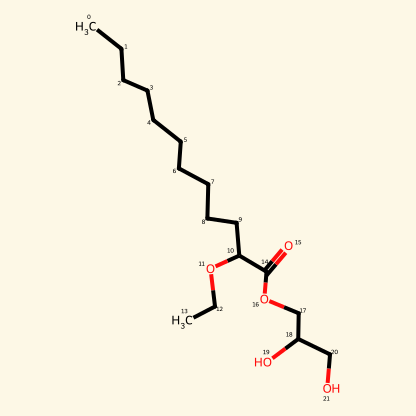 CCCCCCCCCCC(OCC)C(=O)OCC(O)CO